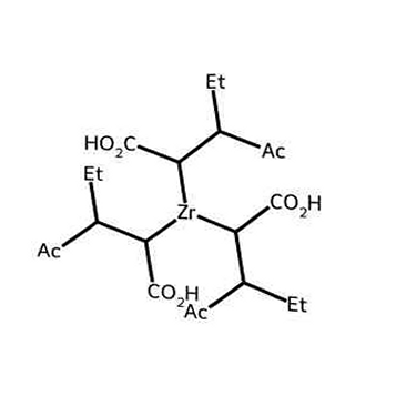 CCC(C(C)=O)[CH](C(=O)O)[Zr]([CH](C(=O)O)C(CC)C(C)=O)[CH](C(=O)O)C(CC)C(C)=O